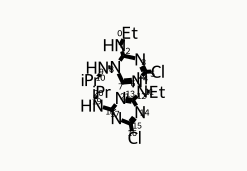 CCNC1N=C(Cl)N=CN1NC(C)C.CCNc1nc(Cl)nc(NC(C)C)n1